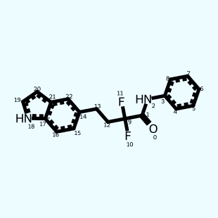 O=C(Nc1ccccc1)C(F)(F)CCc1ccc2[nH]ccc2c1